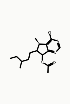 CCC(C)CCC1C(OC(C)=O)c2ncnc(Cl)c2[C@@H]1C